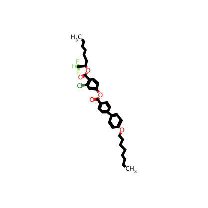 CCCCCCCCOc1ccc(-c2ccc(C(=O)Oc3ccc(C(=O)OC(CCCCCC)C(F)(F)F)c(Cl)c3)cc2)cc1